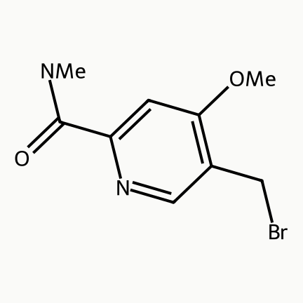 CNC(=O)c1cc(OC)c(CBr)cn1